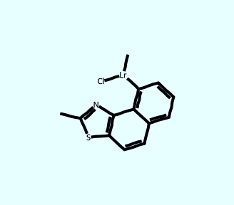 Cc1nc2c(ccc3ccc[c]([Lr]([CH3])[Cl])c32)s1